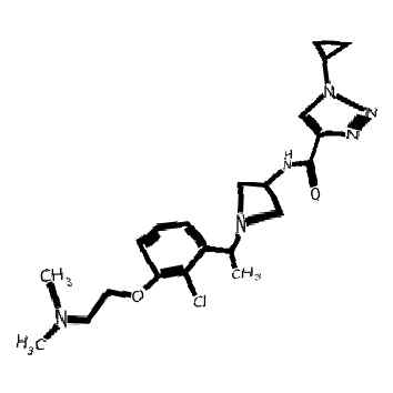 CC(c1cccc(OCCN(C)C)c1Cl)N1CC(NC(=O)c2cn(C3CC3)nn2)C1